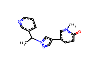 CC(c1cccnc1)n1cc(-c2ccc(=O)n(C)c2)cn1